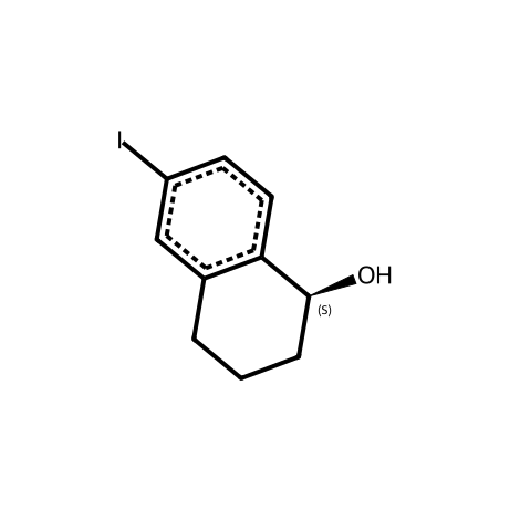 O[C@H]1CCCc2cc(I)ccc21